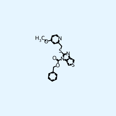 COc1ccnc(CSc2nc3cscc3n2C(=O)OCc2ccccc2)c1